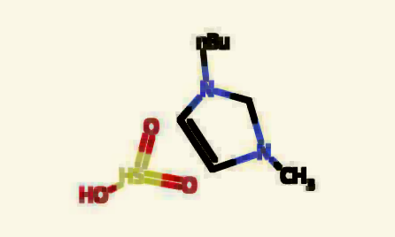 CCCCN1C=CN(C)C1.O=[SH](=O)O